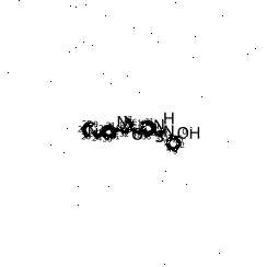 O[C@@H]1CCCC[C@H]1Nc1nc2ccc(Oc3ccnc(-c4ccc(CN5CCCC5)cc4)c3)cc2s1